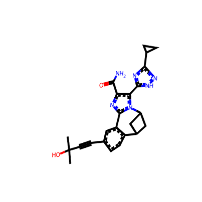 CC(C)(O)C#Cc1ccc2c(c1)-c1nc(C(N)=O)c(-c3nc(C4CC4)n[nH]3)n1C1CC2C1